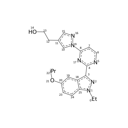 CCn1nc(-c2nccc(-n3cc(CCO)cn3)n2)c2cc(OC(C)C)ccc21